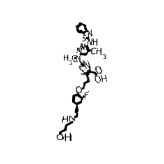 Cc1cc(N(C)c2nc(C(=O)O)c(CCCOc3ccc(C#CCNCCCCO)cc3F)s2)nnc1Nc1nc2ccccc2s1